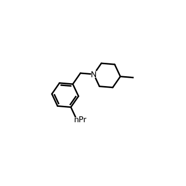 CCCc1cccc(CN2CCC(C)CC2)c1